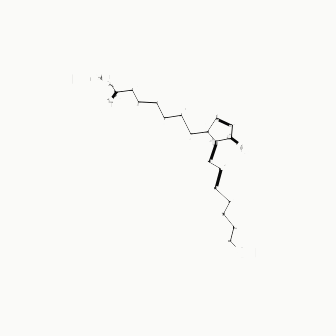 CCCCCC=CC=C1C(=O)C=CC1CCCCCCC(=O)OC